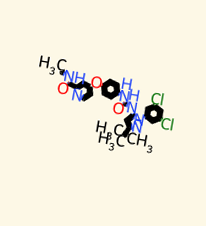 CCNC(=O)c1cc(Oc2ccc(NC(=O)Nc3cc(C(C)(C)C)nn3-c3cc(Cl)cc(Cl)c3)cc2)ccn1